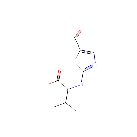 CC(C)C(Nc1ncc(C=O)s1)C(=O)O